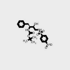 CC(C)(C)OC(=O)N[C@@H](Cc1ccccc1)[C@@H](O)CNS(=O)(=O)c1ccc([N+](=O)[O-])cc1